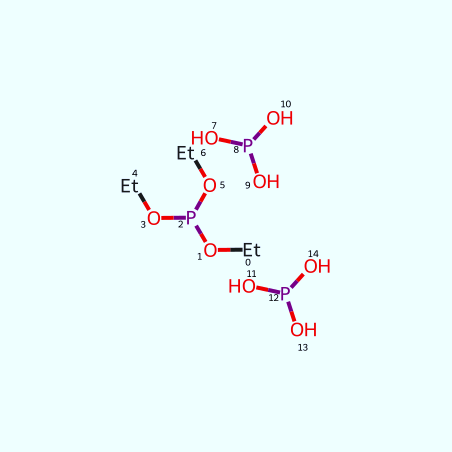 CCOP(OCC)OCC.OP(O)O.OP(O)O